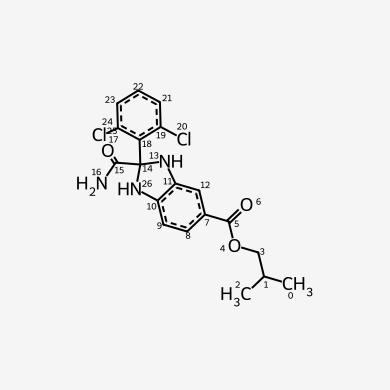 CC(C)COC(=O)c1ccc2c(c1)NC(C(N)=O)(c1c(Cl)cccc1Cl)N2